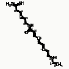 CSNCCOCCOCCC(=O)NCCOCCC(C)S